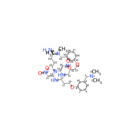 CN(C)Cc1cccc(OCCCNC(=C[N+](=O)[O-])N(CCCCN)C(=C[N+](=O)[O-])NCCCOc2cccc(CN(C)C)c2)c1